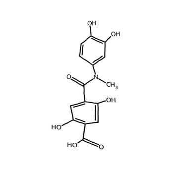 CN(C(=O)c1cc(O)c(C(=O)O)cc1O)c1ccc(O)c(O)c1